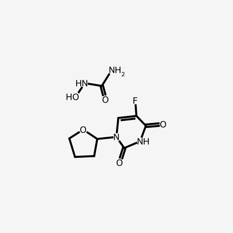 NC(=O)NO.O=c1[nH]c(=O)n(C2CCCO2)cc1F